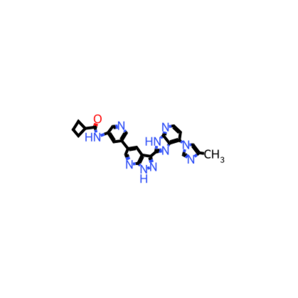 Cc1cn(-c2ccnc3[nH]c(-c4n[nH]c5ncc(-c6cncc(NC(=O)C7CCC7)c6)cc45)nc23)cn1